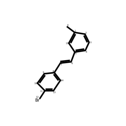 Cc1cccc(C=Cc2ccc(Br)cc2)c1